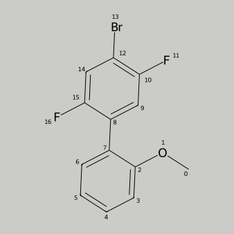 COc1ccccc1-c1cc(F)c(Br)cc1F